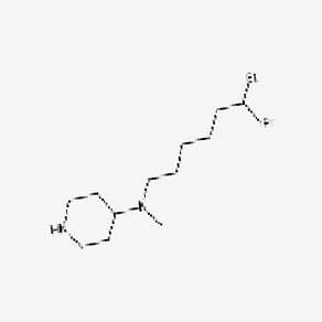 CCC(CCCCCN(C)C1CCNCC1)C(C)C